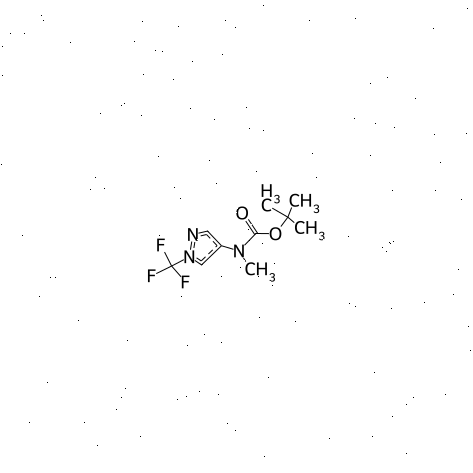 CN(C(=O)OC(C)(C)C)c1cnn(C(F)(F)F)c1